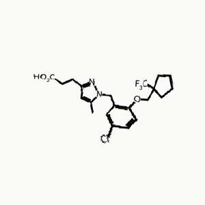 Cc1cc(CCC(=O)O)nn1Cc1cc(Cl)ccc1OCC1(C(F)(F)F)CCCC1